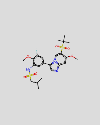 COc1cc2ncc(-c3cc(F)c(OC)c(NS(=O)(=O)CC(C)C)c3)n2cc1S(=O)(=O)C(C)(C)C